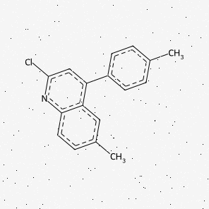 Cc1ccc(-c2cc(Cl)nc3ccc(C)cc23)cc1